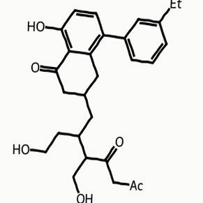 CCc1cccc(-c2ccc(O)c3c2CC(CC(CCO)C(CO)C(=O)CC(C)=O)CC3=O)c1